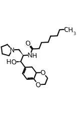 CCCCCCCC(=O)N[C@H](CN1CCCC1)[C@H](O)C1=CC=C2OCCOC2C1